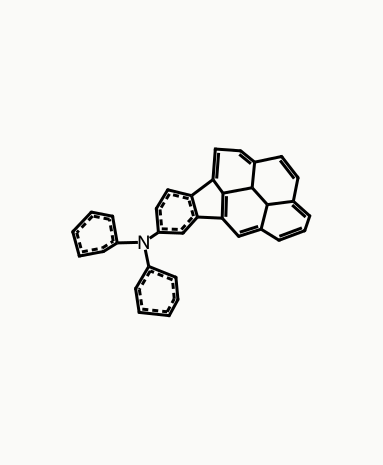 C1=CC2=CC3=C4C(=CC=C5C=CC(=C1)C2C54)c1ccc(N(c2ccccc2)c2ccccc2)cc13